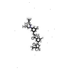 Cc1cc(N2CC[C@@](C#N)(C3CC3)C2=O)cc(C(=O)NCc2cc(F)cc(/C(C=N)=C/NC3CC3)c2)n1